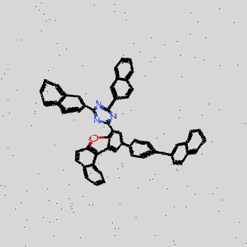 c1ccc2cc(-c3ccc(-c4cc(-c5nc(-c6ccc7ccccc7c6)nc(-c6ccc7ccccc7c6)n5)c5oc6ccc7ccccc7c6c5c4)cc3)ccc2c1